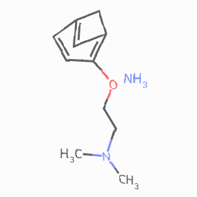 CN(C)CCOc1ccc2cc1C2.N